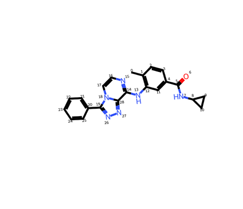 Cc1ccc(C(=O)NC2CC2)cc1Nc1nccn2c(-c3ccccc3)nnc12